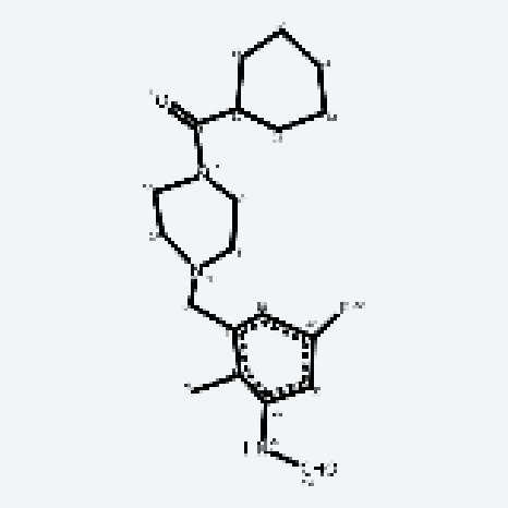 Cc1c(CN2CCN(C(=O)C3CCCCC3)CC2)cc(F)cc1NC=O